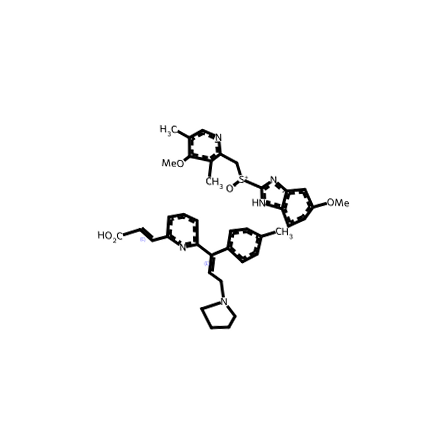 COc1ccc2[nH]c([S+]([O-])Cc3ncc(C)c(OC)c3C)nc2c1.Cc1ccc(/C(=C\CN2CCCC2)c2cccc(/C=C/C(=O)O)n2)cc1